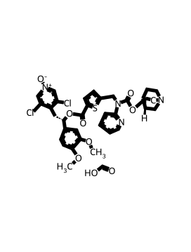 COc1ccc([C@H](Cc2c(Cl)c[n+]([O-])cc2Cl)OC(=O)c2ccc(CN(C(=O)O[C@H]3CN4CCC3CC4)c3ccccn3)s2)cc1OC.O=CO